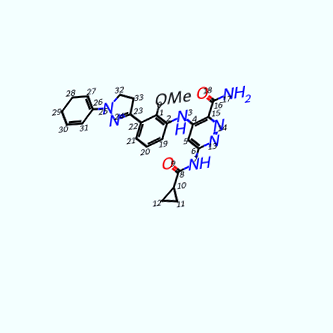 COc1c(Nc2cc(NC(=O)C3CC3)nnc2C(N)=O)cccc1C1=NN(C2=CCCC=C2)CC1